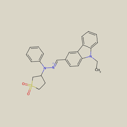 CCn1c2ccccc2c2cc(/C=N/N(c3ccccc3)C3CCS(=O)(=O)C3)ccc21